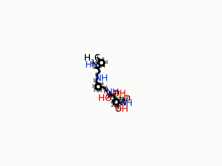 Cc1cccc2c(CCNCc3cccc(CCNC(O)C(O)c4ccc(O)c5[nH]c(=O)sc45)c3)c[nH]c12